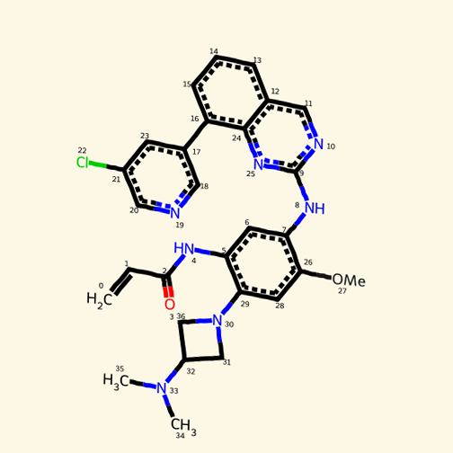 C=CC(=O)Nc1cc(Nc2ncc3cccc(-c4cncc(Cl)c4)c3n2)c(OC)cc1N1CC(N(C)C)C1